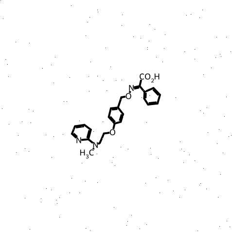 CN(CCOc1ccc(CON=C(C(=O)O)c2ccccc2)cc1)c1ccccn1